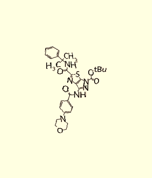 CC(C)(C)OC(=O)n1nc(NC(=O)c2ccc(N3CCOCC3)cc2)c2nc(C(=O)NC(C)(C)c3ccccc3)sc21